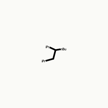 [CH2]CCCC(CC(C)C)C(C)C